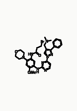 COc1cc(N2CCOCC2)c(NC(=O)CCBr)cc1Nc1nccc(-n2cc(CN(C)C)c(-c3ccccc3)n2)n1